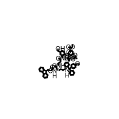 COC(=O)[C@@H]1C[C@H](OC(C)=O)[C@@H](OC(C)=O)[C@H](Oc2ccc(CO)cc2NC(=O)CCNC(=O)[C@H](CCCCNC(c2ccccc2)(c2ccccc2)c2ccc(OC)cc2)NC(=O)OCC2c3ccccc3-c3ccccc32)O1